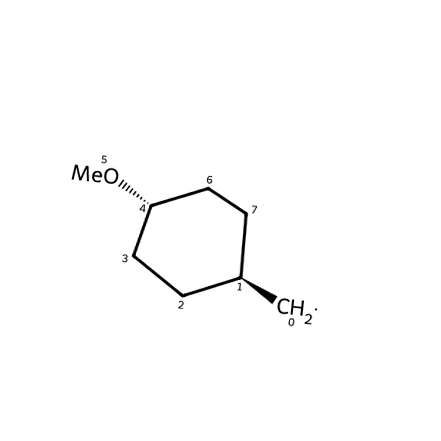 [CH2][C@H]1CC[C@H](OC)CC1